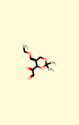 CCOC=C1COC(C)(C)OC1C(=O)C=O